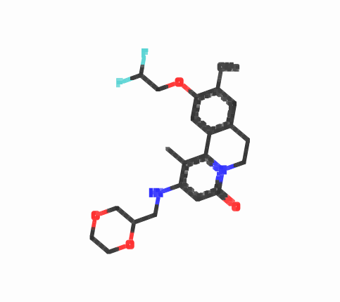 COc1cc2c(cc1OCC(F)F)-c1c(C)c(NCC3COCCO3)cc(=O)n1CC2